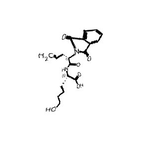 C=CC[C@@H](C(=O)N[C@@H](CCCCO)C(=O)O)N1C(=O)c2ccccc2C1=O